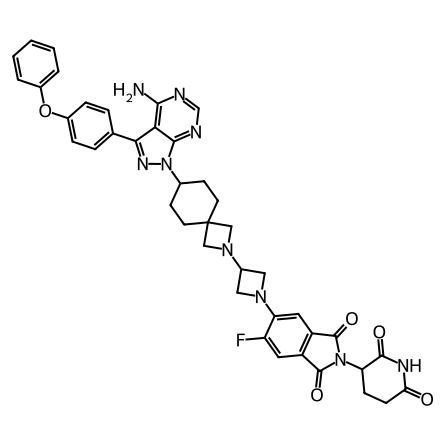 Nc1ncnc2c1c(-c1ccc(Oc3ccccc3)cc1)nn2C1CCC2(CC1)CN(C1CN(c3cc4c(cc3F)C(=O)N(C3CCC(=O)NC3=O)C4=O)C1)C2